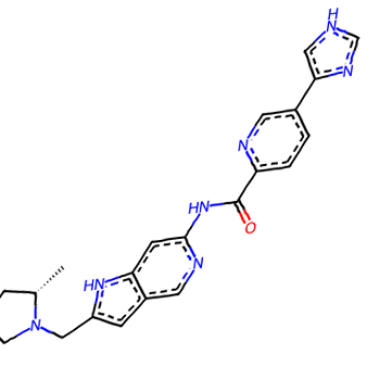 C[C@H]1CCCN1Cc1cc2cnc(NC(=O)c3ccc(-c4c[nH]cn4)cn3)cc2[nH]1